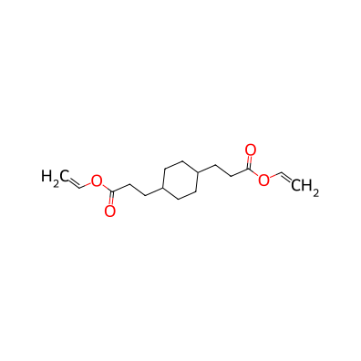 C=COC(=O)CCC1CCC(CCC(=O)OC=C)CC1